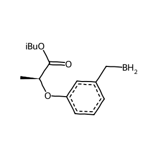 BCc1cccc(O[C@@H](C)C(=O)OCC(C)C)c1